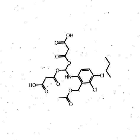 CC(=O)OCc1c(NC(OC(=O)CC(=O)O)OC(=O)CC(=O)O)ccc(Cl)c1Cl.CCCC